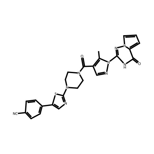 Cc1c(C(=O)N2CCN(c3ncc(-c4ccc(C#N)cc4)s3)CC2)cnn1-c1nn2cccc2c(=O)[nH]1